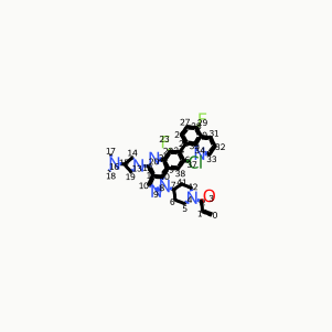 C=CC(=O)N1CCC(n2ncc3c(N4CC(N(C)C)C4)nc4c(F)c(-c5ccc(F)c6cccnc56)c(Cl)cc4c32)CC1